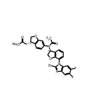 CCc1nc2cc(F)c(F)cc2n1-c1cccc2c1OC[C@H]2N(C(=O)C(F)(F)F)c1ccc2c(c1)OC[C@H]2CC(=O)OC